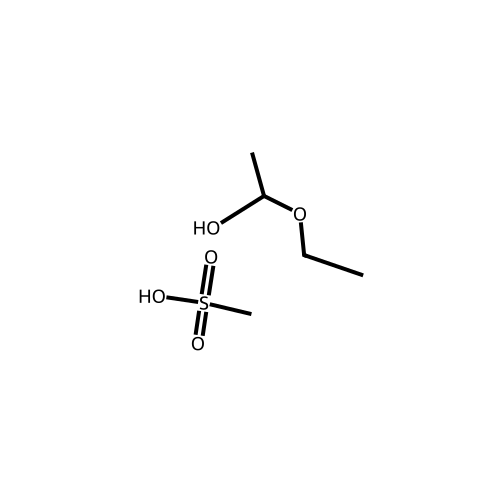 CCOC(C)O.CS(=O)(=O)O